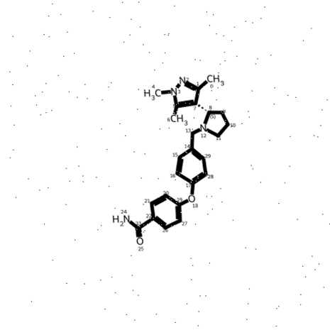 Cc1nn(C)c(C)c1[C@@H]1CCCN1Cc1ccc(Oc2ccc(C(N)=O)cc2)cc1